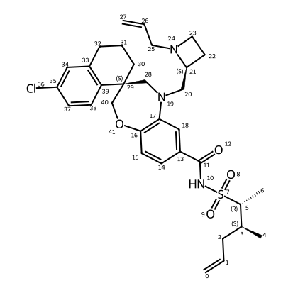 C=CC[C@H](C)[C@@H](C)S(=O)(=O)NC(=O)c1ccc2c(c1)N(C[C@@H]1CCN1CC=C)C[C@@]1(CCCc3cc(Cl)ccc31)CO2